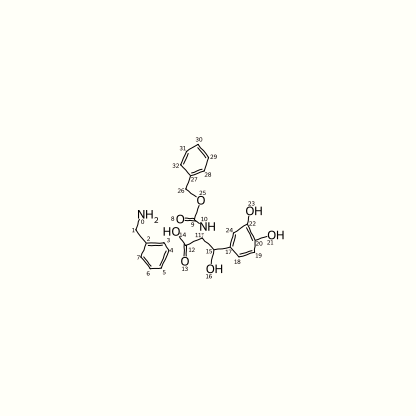 NCc1ccccc1.O=C(N[C@@H](C(=O)O)C(O)c1ccc(O)c(O)c1)OCc1ccccc1